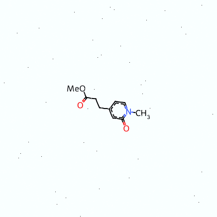 COC(=O)CCc1ccn(C)c(=O)c1